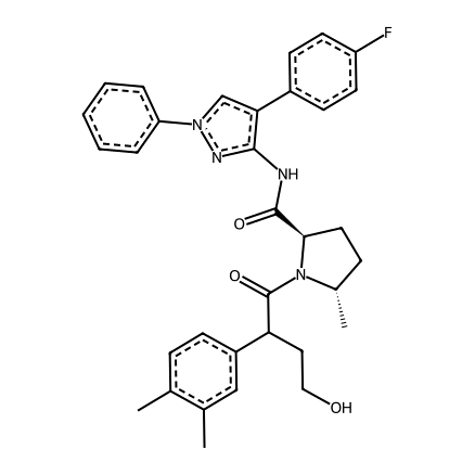 Cc1ccc(C(CCO)C(=O)N2[C@@H](C(=O)Nc3nn(-c4ccccc4)cc3-c3ccc(F)cc3)CC[C@@H]2C)cc1C